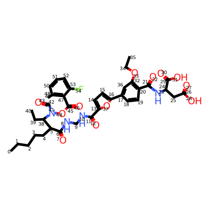 CCCCCC(C(=O)NCNC(=O)c1ccc(-c2ccc(C(=O)NC(CC(=O)O)C(=O)O)c(OCC)c2)o1)C(CC)N(C=O)OC(=O)c1c(C)cccc1F